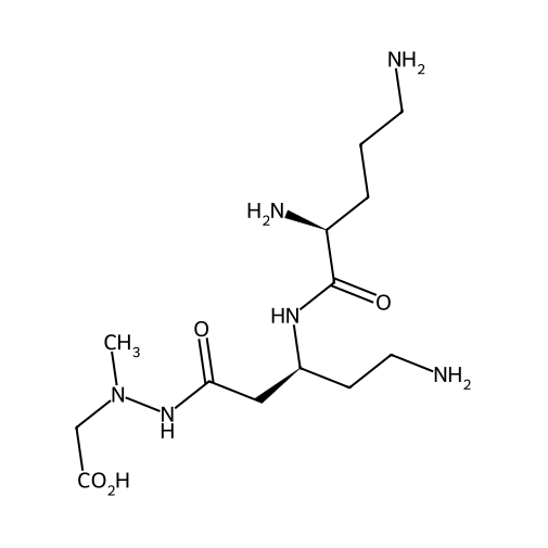 CN(CC(=O)O)NC(=O)C[C@H](CCN)NC(=O)[C@@H](N)CCCN